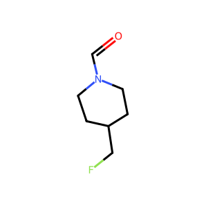 O=CN1CCC(CF)CC1